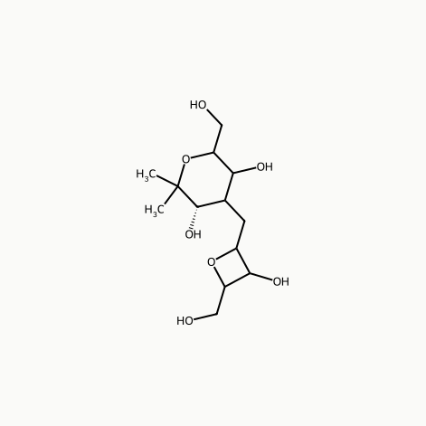 CC1(C)OC(CO)C(O)C(CC2OC(CO)C2O)[C@@H]1O